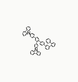 c1ccc(-c2ccccc2-c2cccc(-c3ccc(-c4ccc(-c5ccc(-n6c7ccccc7c7ccccc76)cc5)cc4-c4ccc(-n5c6ccccc6c6ccccc65)cc4)cc3)c2)cc1